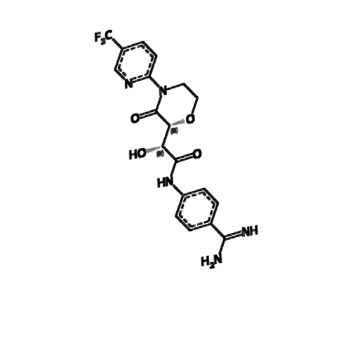 N=C(N)c1ccc(NC(=O)[C@H](O)[C@H]2OCCN(c3ccc(C(F)(F)F)cn3)C2=O)cc1